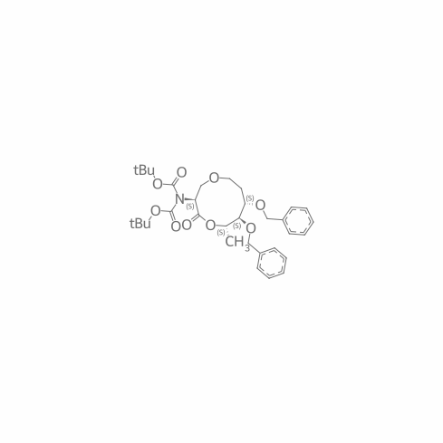 C[C@@H]1OC(=O)[C@@H](N(C(=O)OC(C)(C)C)C(=O)OC(C)(C)C)COCC[C@H](OCc2ccccc2)[C@H]1OCc1ccccc1